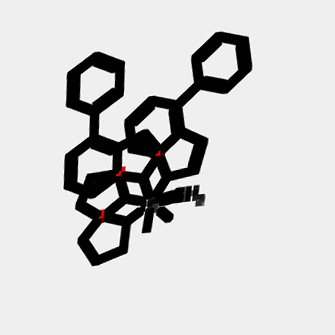 [CH3][Hf]([CH3])(=[SiH2])([CH]1CCCC1)([CH]1CCCC1)([CH]1C=Cc2c(-c3ccccc3)cccc21)[CH]1C=Cc2c(-c3ccccc3)cccc21